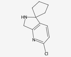 Clc1ccc2c(n1)CNC21CCCC1